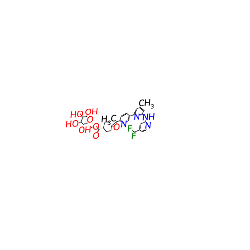 Cc1cc(Nc2cc(C(F)F)ccn2)nc(-c2ccc([C@]3(C)O[C@]34CC[C@@H](C(=O)OC[C@H]3OC(O)[C@H](O)C(O)[C@@H]3O)CC4)nc2)c1